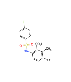 CCc1ccc(NS(=O)(=O)c2ccc(F)cc2)c(C(=O)O)c1C